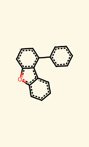 [c]1cc(-c2ccccc2)c2c(c1)oc1ccccc12